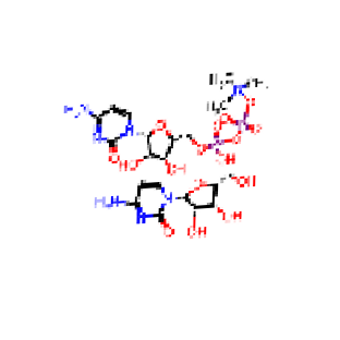 C[N+](C)(C)OP(=O)([O-])OP(=O)(O)OC[C@H]1O[C@@H](n2ccc(N)nc2=O)[C@H](O)[C@@H]1O.Nc1ccn([C@@H]2O[C@H](CO)[C@@H](O)[C@H]2O)c(=O)n1